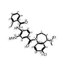 CCN(C)C1CCCN(C(=O)c2ccc(NC(=O)c3ccccc3C)c(OC)c2)c2ccc(Cl)cc21